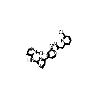 Cn1nccc1Nc1nccc(-c2ccn3c(Cc4cccc(Cl)n4)nnc3c2)n1